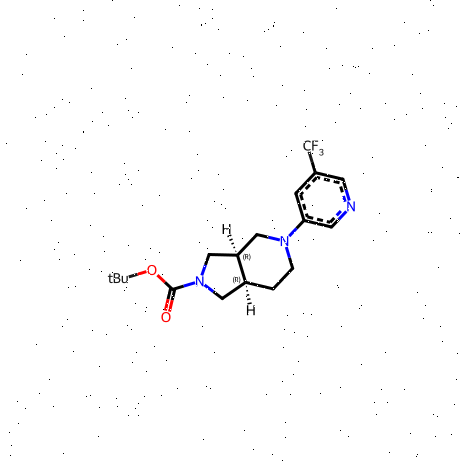 CC(C)(C)OC(=O)N1C[C@@H]2CCN(c3cncc(C(F)(F)F)c3)C[C@@H]2C1